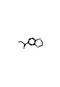 [CH2]CC(=O)c1ccc2c(c1)OCCO2